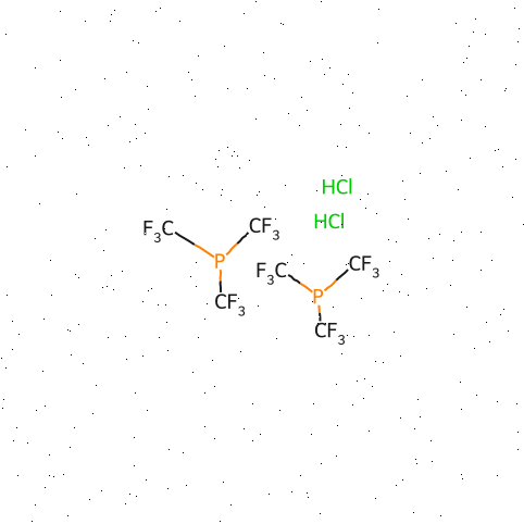 Cl.Cl.FC(F)(F)P(C(F)(F)F)C(F)(F)F.FC(F)(F)P(C(F)(F)F)C(F)(F)F